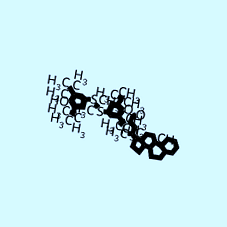 CC(CCC(=O)Oc1c(C(C)(C)C)cc(SC(C)(C)Sc2cc(C(C)(C)C)c(O)c(C(C)(C)C)c2)cc1C(C)(C)C)C1CCC2C3CCC4CCCCC4(C)C3CCC12C